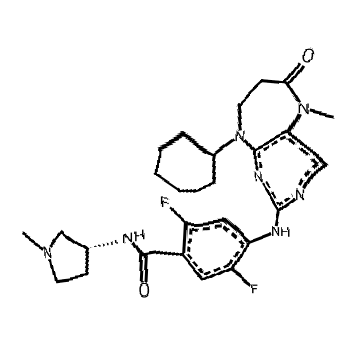 CN1CC[C@@H](NC(=O)c2cc(F)c(Nc3ncc4c(n3)N(C3CCCCC3)CCC(=O)N4C)cc2F)C1